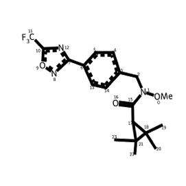 CON(Cc1ccc(-c2noc(C(F)(F)F)n2)cc1)C(=O)C1C(C)(C)C1(C)C